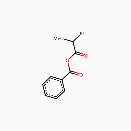 CCC(OC)C(=O)OC(=O)c1ccccc1